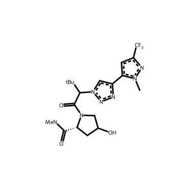 CNC(=O)[C@H]1CC(O)CN1C(=O)C(n1cc(-c2cc(C(F)(F)F)nn2C)nn1)C(C)(C)C